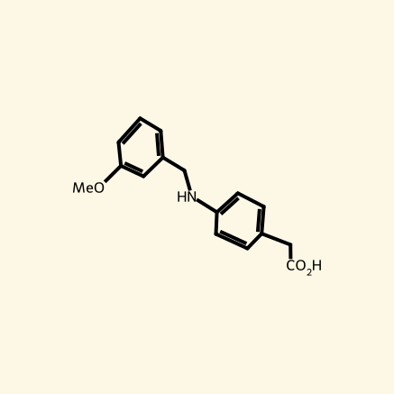 COc1cccc(CNc2ccc(CC(=O)O)cc2)c1